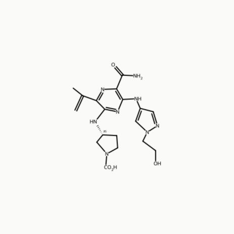 C=C(C)c1nc(C(N)=O)c(Nc2cnn(CCO)c2)nc1N[C@@H]1CCN(C(=O)O)C1